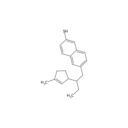 CCC(Cc1ccc2cc(S)ccc2c1)C1C=C(C)CC1